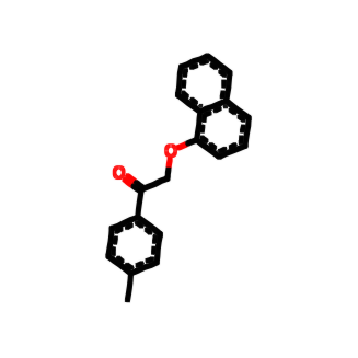 Cc1ccc(C(=O)COc2cccc3ccccc23)cc1